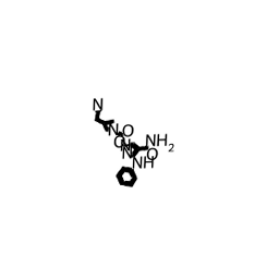 N#CCC1CN(C(=O)On2cc(C(N)=O)c(Nc3ccccc3)n2)C1